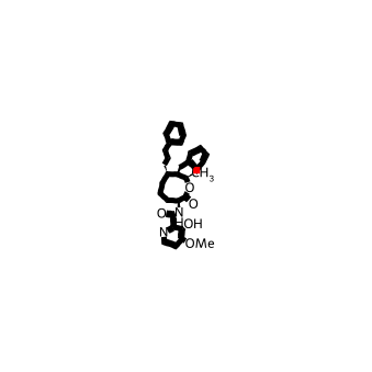 COc1ccnc(C(=O)N[C@H]2CCC[C@H](CCCc3ccccc3)[C@@H](Cc3ccccc3)[C@H](C)OC2=O)c1O